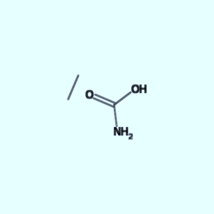 CC.NC(=O)O